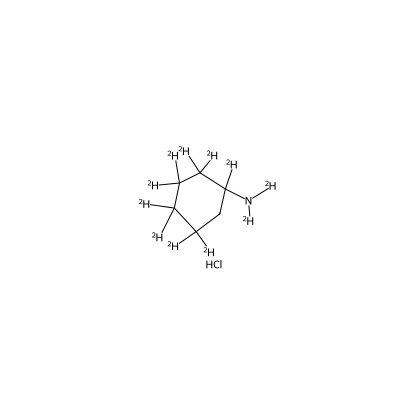 Cl.[2H]N([2H])C1([2H])CC([2H])([2H])C([2H])([2H])C([2H])([2H])C1([2H])[2H]